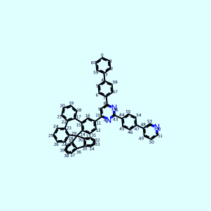 c1ccc(-c2ccc(-c3cc(-c4ccc5c(c4)-c4ccccc4-c4ccccc4C54c5ccccc5-c5ccccc54)nc(-c4ccc(-c5cccnc5)cc4)n3)cc2)cc1